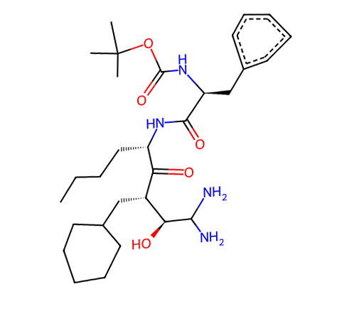 CCCC[C@H](NC(=O)[C@H](Cc1ccccc1)NC(=O)OC(C)(C)C)C(=O)[C@@H](CC1CCCCC1)[C@H](O)C(N)N